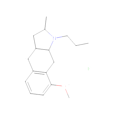 CCCN1C(C)CC2Cc3cccc(OC)c3CC21.Cl